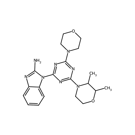 CC1OCCN(c2nc(N3CCOCC3)nc(-n3c(N)nc4ccccc43)n2)C1C